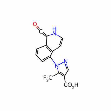 O=C=C1NC=Cc2c1cccc2-n1ncc(C(=O)O)c1C(F)(F)F